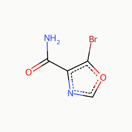 NC(=O)c1ncoc1Br